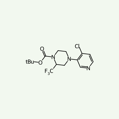 CC(C)(C)OC(=O)N1CCN(c2cnccc2Cl)CC1C(F)(F)F